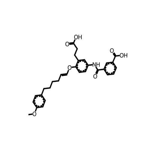 COc1ccc(CCCCC=COc2ccc(NC(=O)c3cccc(C(=O)O)c3)cc2CCC(=O)O)cc1